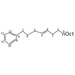 CCCCCCCCCCC=CCCCc1[c]cccc1